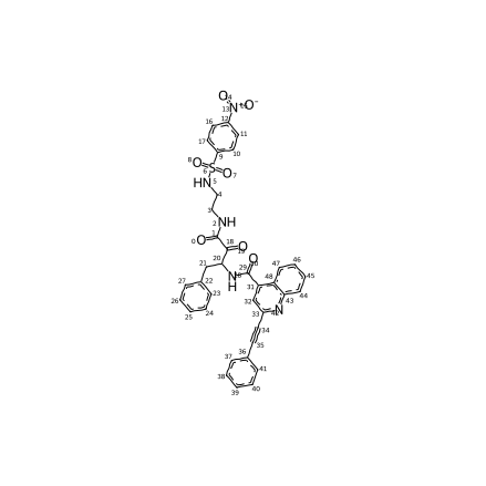 O=C(NCCNS(=O)(=O)c1ccc([N+](=O)[O-])cc1)C(=O)C(Cc1ccccc1)NC(=O)c1cc(C#Cc2ccccc2)nc2ccccc12